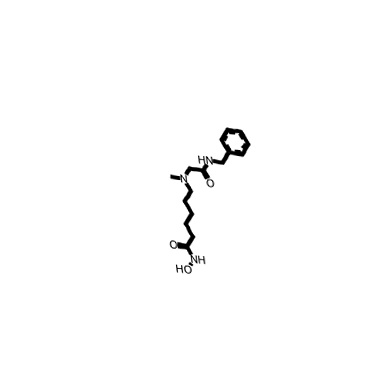 CN(CCCCCC(=O)NO)CC(=O)NCc1ccccc1